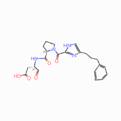 O=C[C@H](CC(=O)O)NC(=O)[C@H]1CCCN1C(=O)c1nc(CCCc2ccccc2)c[nH]1